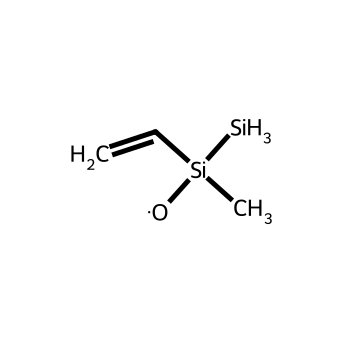 C=C[Si](C)([O])[SiH3]